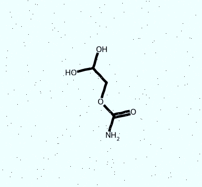 NC(=O)OCC(O)O